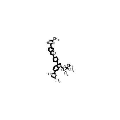 CC1CNC(c2ccc3cc(-c4ccc(-c5cn(C(=O)OC(C)(C)C)c6cc(C7=NC(C)CN7)ccc56)cc4)oc3c2)=N1